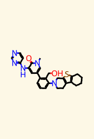 Cn1cc(-c2cccc(N3CCc4c(sc5c4CCCC5)C3)c2CO)cc(Nc2ccncn2)c1=O